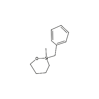 C[Si]1(Cc2ccccc2)CCCCO1